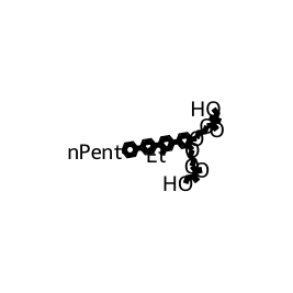 C=C(CO)C(=O)OCCOc1cc(-c2ccc(-c3ccc(C4CCC(CCCCC)CC4)cc3)c(CC)c2)ccc1OCCOC(=O)C(C)(C)CO